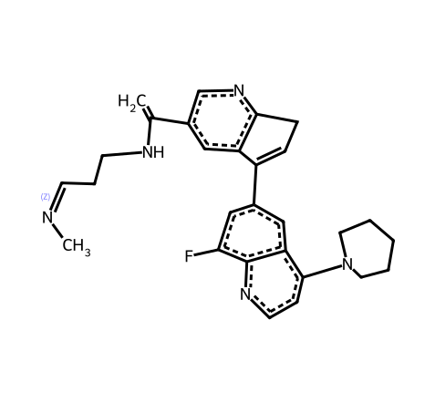 C=C(NCC/C=N\C)c1cnc2c(c1)C(c1cc(F)c3nccc(N4CCCCC4)c3c1)=CC2